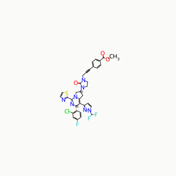 COC(=O)c1ccc(C#CCN2CCN([C@H]3CC4=C(c5ccn(C(F)F)n5)[C@H](c5ccc(F)cc5Cl)N=C(c5nccs5)N4C3)C2=O)cc1